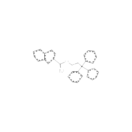 NC(OCCC(c1ccccc1)(c1ccccc1)c1ccccc1)c1ccc2ccccc2c1